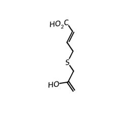 C=C(O)CSCC=CC(=O)O